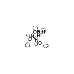 C1CCC(NC2CCCCC2)CC1.O=C(O)CN(C(=O)OCc1ccccc1)C1CCN(C(=O)OCc2ccccc2)C1